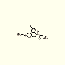 CCOCC(=O)N[C@H]1CCC2(CCN(CCC(C)(C)C)CC2)c2cc(F)ccc21